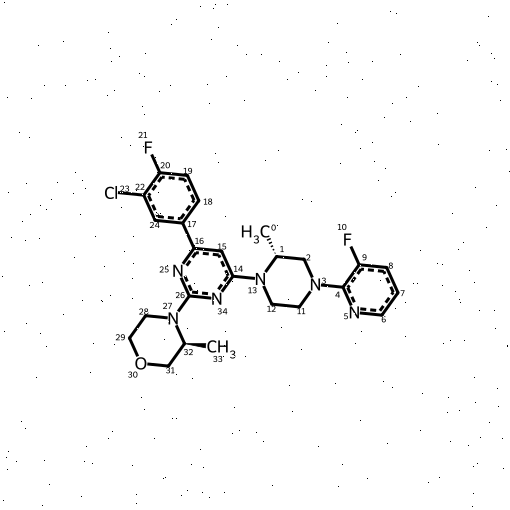 C[C@@H]1CN(c2ncccc2F)CCN1c1cc(-c2ccc(F)c(Cl)c2)nc(N2CCOC[C@@H]2C)n1